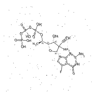 C#CC1(N)[C@@H](O)[C@@H]([C@@H](C)OP(=O)(O)OP(=O)(O)OP(=O)(O)O)O[C@H]1n1cc(F)c2c(=O)[nH]c(N)nc21